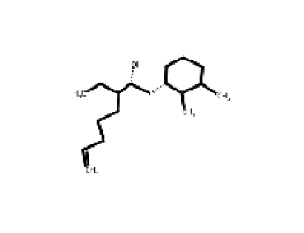 C=CCCCC(CC)[C@H](O)C[C@@H]1CCCC(C)C1C